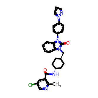 Cc1ncc(Cl)cc1C(=O)N[C@H]1CC[C@H](Cn2c(=O)n(-c3ccc(-n4cccn4)cc3)c3ccccc32)CC1